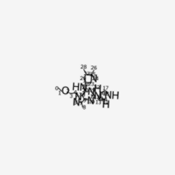 CCOCCn1nc(C)c2nc(N3C[C@@H]4C[C@H]3CN4)nc(Nc3cnc(C)c(C)c3)c21